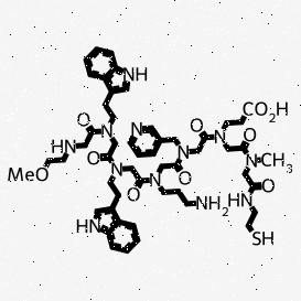 COCCNCC(=O)N(CCc1c[nH]c2ccccc12)CC(=O)N(CCc1c[nH]c2ccccc12)CC(=O)N(CCCN)CC(=O)N(CC(=O)N(CCC(=O)O)CC(=O)N(C)CC(=O)NCCS)Cc1cccnc1